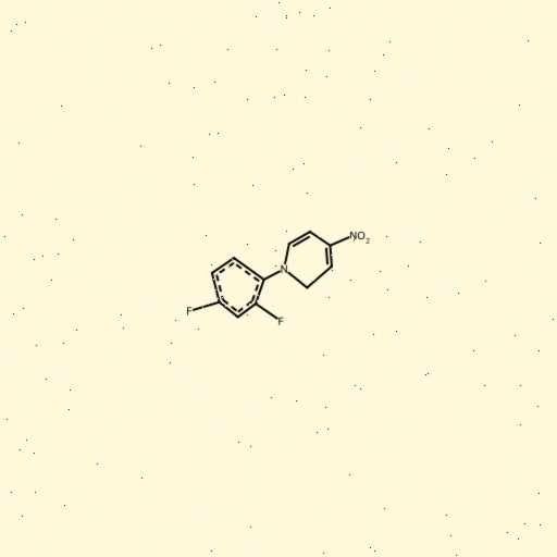 O=[N+]([O-])C1=CCN(c2ccc(F)cc2F)C=C1